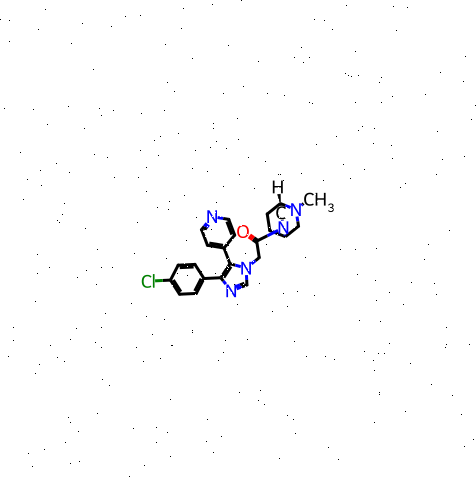 CN1CC2CC[C@H]1CN2C(=O)Cn1cnc(-c2ccc(Cl)cc2)c1-c1ccncc1